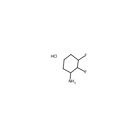 Cl.NC1CCCC(F)C1F